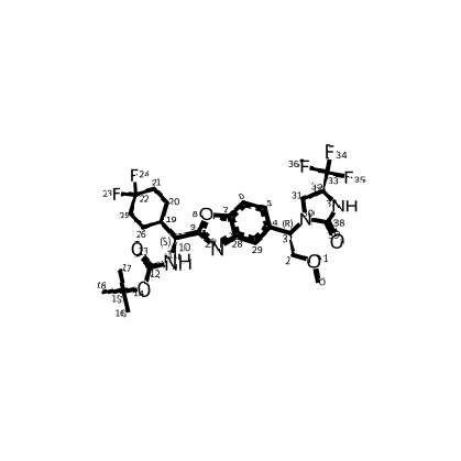 COC[C@@H](c1ccc2oc([C@@H](NC(=O)OC(C)(C)C)C3CCC(F)(F)CC3)nc2c1)N1C[C@@H](C(F)(F)F)NC1=O